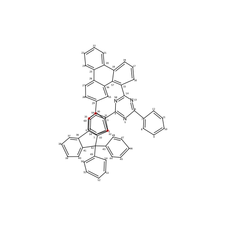 c1ccc(-c2nc(-c3ccccc3)nc(-c3cccc4c5ccccc5c5ccc(-c6ccc7c(c6)-c6ccccc6C7(c6ccccc6)c6ccccc6)cc5c34)n2)cc1